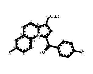 CCOC(=O)c1cc(C(=O)c2ccc(Cl)cc2)n2c1ccc1cc(C)ccc12